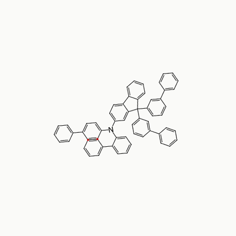 c1ccc(-c2ccc(N(c3ccc4c(c3)C(c3cccc(-c5ccccc5)c3)(c3cccc(-c5ccccc5)c3)c3ccccc3-4)c3ccccc3-c3ccccc3)cc2)cc1